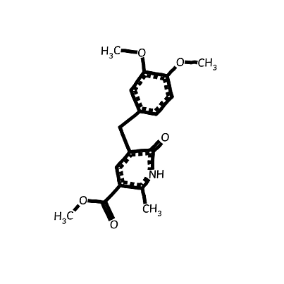 COC(=O)c1cc(Cc2ccc(OC)c(OC)c2)c(=O)[nH]c1C